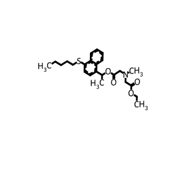 CCCCCSc1ccc(C(C)OC(=O)CN(C)CC(=O)OCC)c2ccccc12